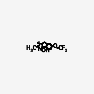 CC1=NC2(O)c3ccc(OCC(F)(F)F)cc3CC2S1